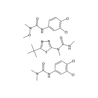 CN(C)C(=O)Nc1ccc(Cl)c(Cl)c1.CNC(=O)N(C)c1nnc(C(C)(C)C)s1.CON(C)C(=O)Nc1ccc(Cl)c(Cl)c1